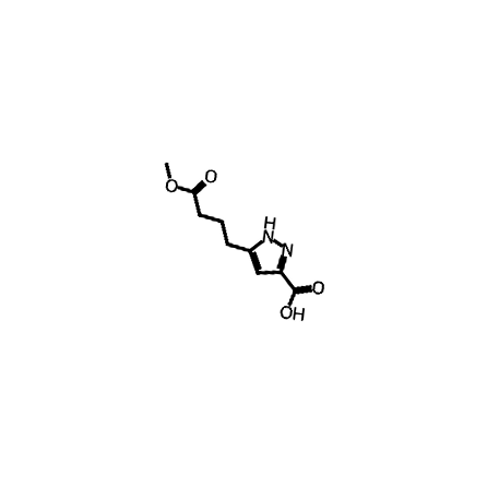 COC(=O)CCCc1cc(C(=O)O)n[nH]1